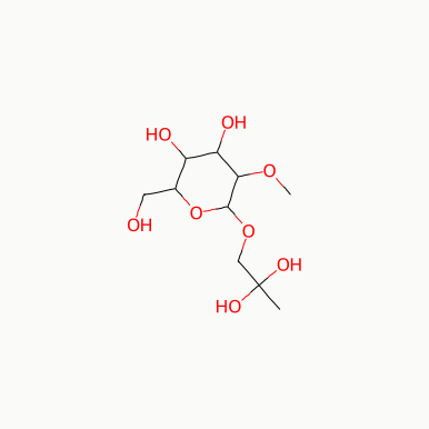 COC1C(OCC(C)(O)O)OC(CO)C(O)C1O